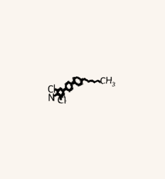 CCCCCCCC1CCC(C2CCC(c3cc(Cl)c(C#N)c(Cl)c3)CC2)CC1